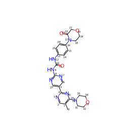 Cc1cnc(-c2cnc(NC(=O)Nc3ccc(N4CCOCC4=O)cc3)nc2)nc1N1CCOCC1